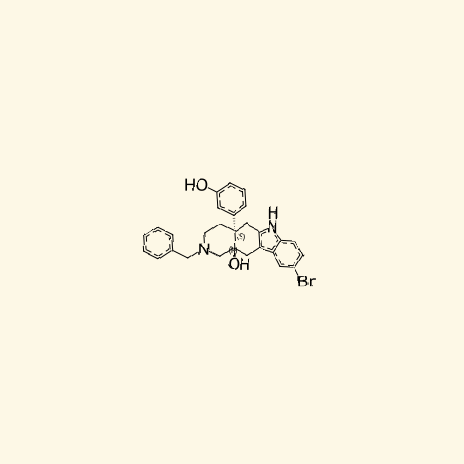 Oc1cccc([C@@]23CCN(Cc4ccccc4)C[C@@]2(O)Cc2c([nH]c4ccc(Br)cc24)C3)c1